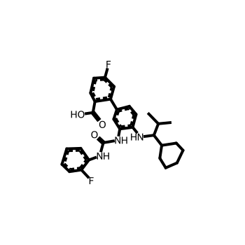 CC(C)C(Nc1ccc(-c2cc(F)ccc2C(=O)O)cc1NC(=O)Nc1ccccc1F)C1CCCCC1